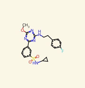 COc1nc(NCCc2ccc(F)cc2)nc(-c2cccc(S(=O)(=O)NC3CC3)c2)n1